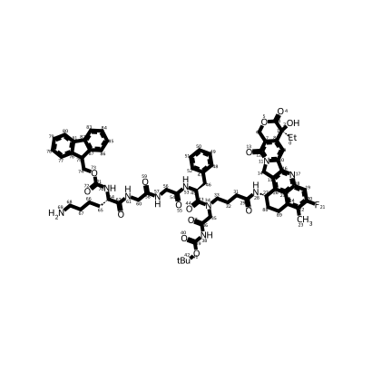 CC[C@@]1(O)C(=O)OCc2c1cc1n(c2=O)Cc2c-1nc1cc(F)c(C)c3c1c2[C@@H](NC(=O)CCCN(CC(=O)NC(=O)OC(C)(C)C)C(=O)[C@H](Cc1ccccc1)NC(=O)CNC(=O)CNC(=O)[C@H](CCCCN)NC(=O)OCC1c2ccccc2-c2ccccc21)CC3